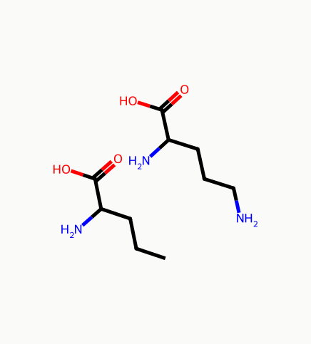 CCCC(N)C(=O)O.NCCCC(N)C(=O)O